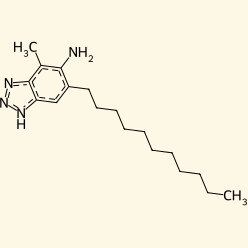 CCCCCCCCCCCc1cc2[nH]nnc2c(C)c1N